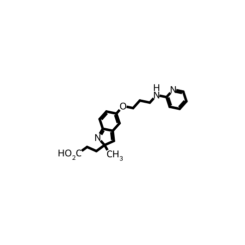 CC1(CCC(=O)O)C=c2cc(OCCCNc3ccccn3)ccc2=N1